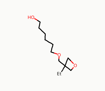 CCC1(COCCCCCCO)COC1